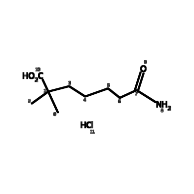 CC(C)(CCCCC(N)=O)C(=O)O.Cl